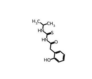 CC(C)NC(=S)NC(=O)Cc1ccccc1O